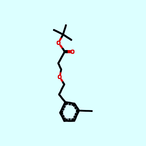 Cc1cccc(CCOCCC(=O)OC(C)(C)C)c1